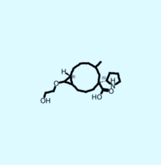 CC1CCC[C@@H]2C(CCCC(C(=O)O)([C@@H]3CCCN3)C1)C2OCCO